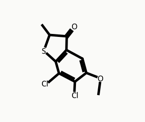 COc1cc2c(c(Cl)c1Cl)SC(C)C2=O